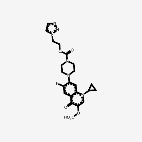 O=C(O)Oc1cn(C2CC2)c2cc(N3CCN(C(=O)OCCn4ccnn4)CC3)c(F)cc2c1=O